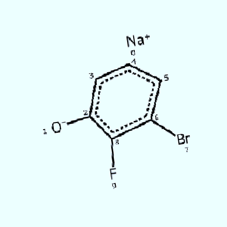 [Na+].[O-]c1cccc(Br)c1F